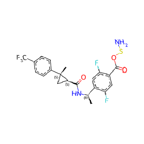 C[C@@H](NC(=O)[C@H]1C[C@]1(C)c1ccc(C(F)(F)F)cc1)c1cc(F)c(C(=O)OSN)cc1F